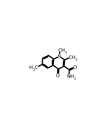 Cc1ccc2c(c1)c(=O)c(C(N)=O)c(C)n2C